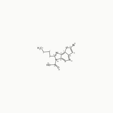 CCCCc1nc2c3sc(Br)cc3ncc2n1C(=O)O